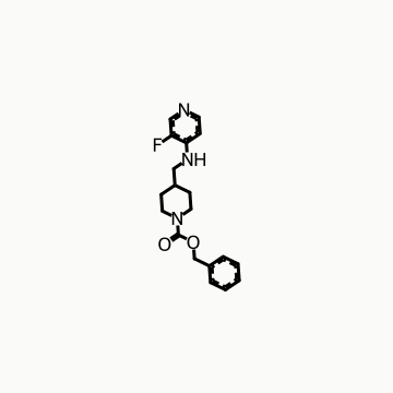 O=C(OCc1ccccc1)N1CCC(CNc2ccncc2F)CC1